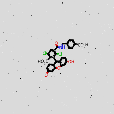 O=C(O)c1ccc(CNC(=O)c2cc(Cl)c(C(=O)O)c(-c3c4ccc(=O)cc-4oc4cc(O)ccc34)c2Cl)cc1